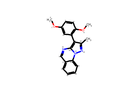 COc1ccc(OC)c(-c2c(C)nn3c2ncc2ccccc23)c1